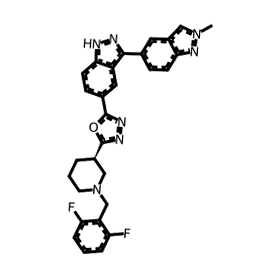 Cn1cc2cc(-c3n[nH]c4ccc(-c5nnc([C@@H]6CCCN(Cc7c(F)cccc7F)C6)o5)cc34)ccc2n1